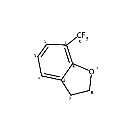 FC(F)(F)c1cccc2c1OCC2